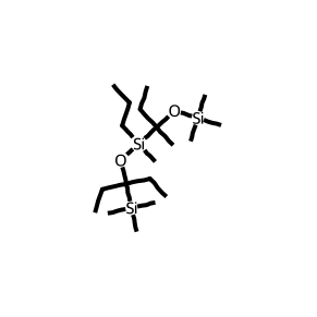 CCC[Si](C)(OC(CC)(CC)[Si](C)(C)C)C(C)(CC)O[Si](C)(C)C